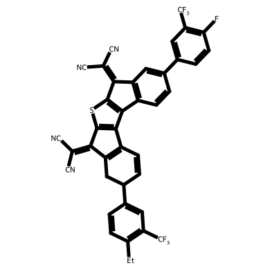 CCc1ccc(C2C=CC3=C(C2)C(=C(C#N)C#N)c2sc4c(c23)-c2ccc(-c3ccc(F)c(C(F)(F)F)c3)cc2C4=C(C#N)C#N)cc1C(F)(F)F